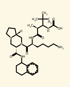 C[C@H](C(=O)N[C@@H](CCCCN)C(=O)N1C[C@H]2CCCN2C[C@H]1C(=O)NC1CCCc2ccccc21)C(NC(=O)O)C(C)(C)C